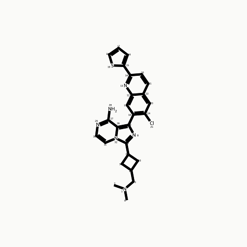 CN(C)CC1CC(c2nc(-c3cc4nc(-c5cccs5)ccc4cc3Cl)c3c(N)nccn23)C1